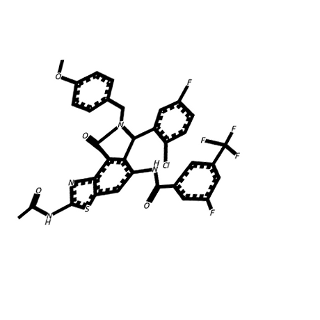 COc1ccc(CN2C(=O)c3c(c(NC(=O)c4cc(F)cc(C(F)(F)F)c4)cc4sc(NC(C)=O)nc34)C2c2cc(F)ccc2Cl)cc1